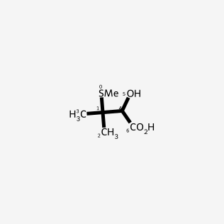 CSC(C)(C)C(O)C(=O)O